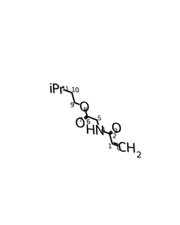 C=CC(=O)NCC(=O)OCCC(C)C